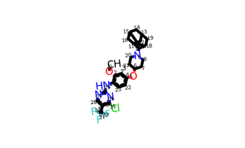 COc1cc(OC2CCN(C3C4CC5CC(C4)CC3C5)CC2)ccc1Nc1ncc(C(F)(F)F)c(Cl)n1